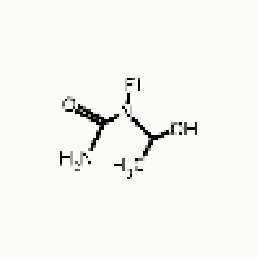 CCN(C(N)=O)C(C)O